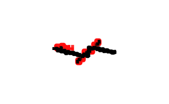 CCCCCCCCCC[C@@H](OCOC)[C@H]1CC[C@H]([C@H]2CC[C@H]([C@@H](CCCCCCCC[C@H](O)CC3=C[C@@H](C)OC3=O)OCOC)O2)O1